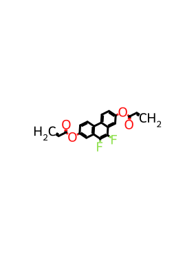 C=CC(=O)Oc1ccc2c(c1)c(F)c(F)c1cc(OC(=O)C=C)ccc12